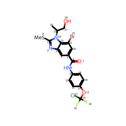 CSc1nc2cc(C(=O)Nc3ccc(OC(F)(F)Cl)cc3)cc(Br)c2n1C(C)CO